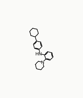 c1ccc(N2CCCCC2)c(Nc2ccc(C3CCCCC3)cc2)c1